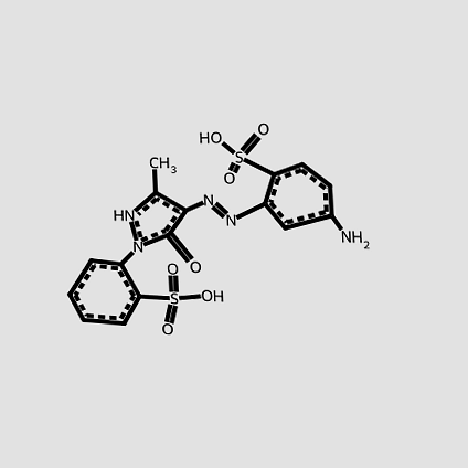 Cc1[nH]n(-c2ccccc2S(=O)(=O)O)c(=O)c1N=Nc1cc(N)ccc1S(=O)(=O)O